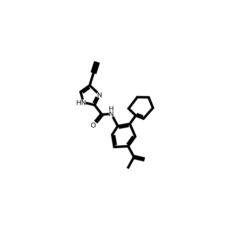 C#Cc1c[nH]c(C(=O)Nc2ccc(C(=C)C)cc2C2=CCCCC2)n1